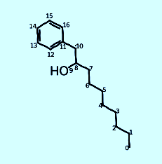 CCCCCCCCC(O)[CH]c1ccccc1